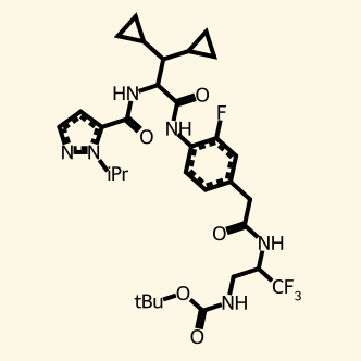 CC(C)n1nccc1C(=O)NC(C(=O)Nc1ccc(CC(=O)NC(CNC(=O)OC(C)(C)C)C(F)(F)F)cc1F)C(C1CC1)C1CC1